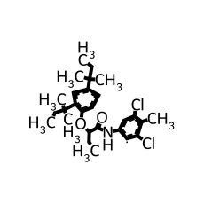 CCC(Oc1ccc(C(C)(C)CC)cc1C(C)(C)CC)C(=O)Nc1[c]c(Cl)c(C)c(Cl)c1